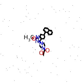 COc1nc2c(c(N3CCN(C(=O)C4CO4)CC3)n1)CCC(c1cccc3ccccc13)C2